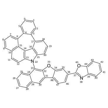 c1ccc2c(c1)-c1cccc3ccc4c(c13)c1c-2cccc1n4-c1c2ccccc2cc2c1oc1cc(-c3nc4ccccc4o3)ccc12